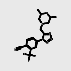 CC1CN(Cc2nnnn2-c2ccc(C#N)c(C(F)(F)F)c2)CC(C)O1